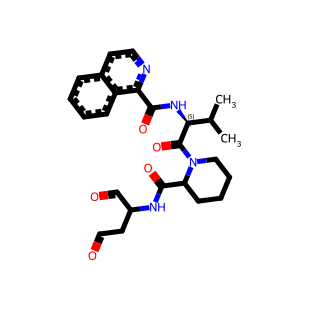 CC(C)[C@H](NC(=O)c1nccc2ccccc12)C(=O)N1CCCCC1C(=O)NC(C=O)CC=O